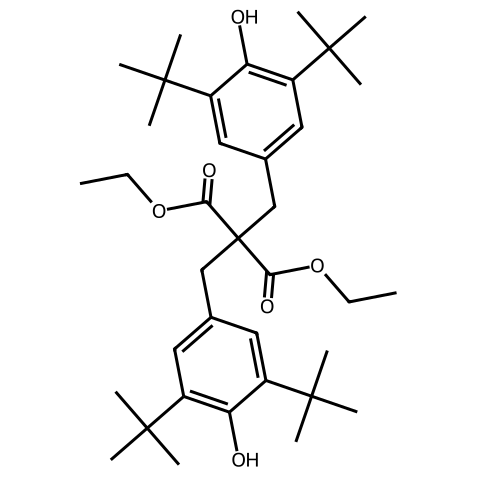 CCOC(=O)C(Cc1cc(C(C)(C)C)c(O)c(C(C)(C)C)c1)(Cc1cc(C(C)(C)C)c(O)c(C(C)(C)C)c1)C(=O)OCC